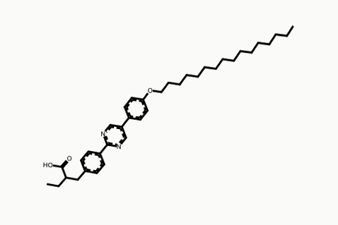 CCCCCCCCCCCCCCCCOc1ccc(-c2cnc(-c3ccc(CC(CC)C(=O)O)cc3)nc2)cc1